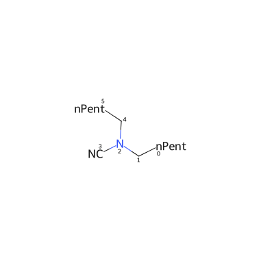 CCCCCCN(C#N)CCCCCC